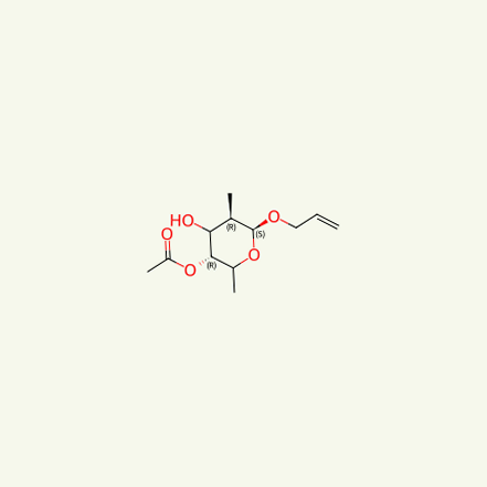 C=CCO[C@H]1OC(C)[C@H](OC(C)=O)C(O)[C@H]1C